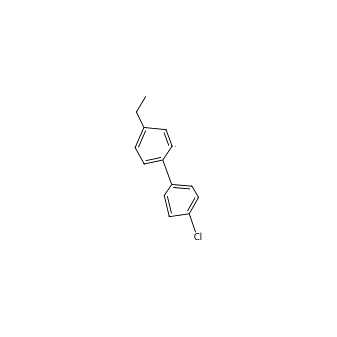 CCc1c[c]c(-c2ccc(Cl)cc2)cc1